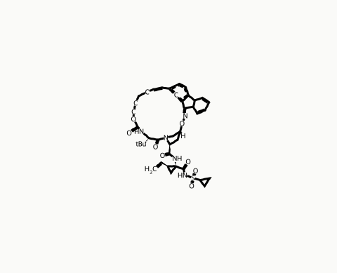 C=C[C@@H]1C[C@]1(NC(=O)[C@@H]1C[C@@H]2CN1C(=O)[C@H](C(C)(C)C)NC(=O)OCCCC/C=C/c1ccc3c(c1)/C(=N\O2)C1C=CC=CC31)C(=O)NS(=O)(=O)C1CC1